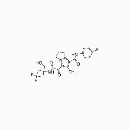 Cc1c(C(=O)Nc2ccc(F)cc2)c2n(c1C(=O)C(=O)NC1(CO)CC(F)(F)C1)CCC2